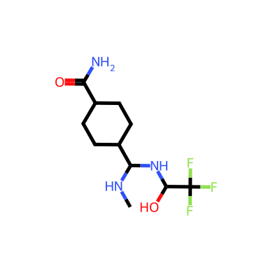 CNC(NC(O)C(F)(F)F)C1CCC(C(N)=O)CC1